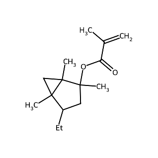 C=C(C)C(=O)OC1(C)CC(CC)C2(C)CC12C